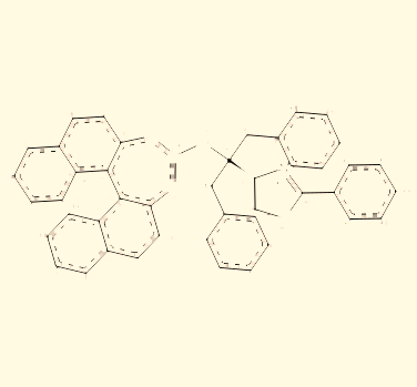 c1ccc(CC(Cc2ccccc2)(Op2oc3ccc4ccccc4c3c3c(ccc4ccccc43)o2)[C@@H]2COC(c3ccccc3)=N2)cc1